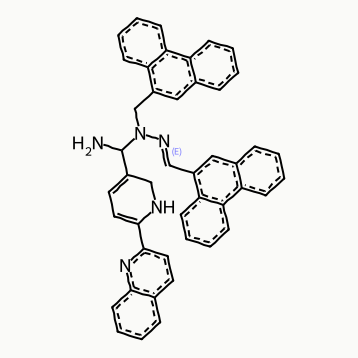 NC(C1=CC=C(c2ccc3ccccc3n2)NC1)N(Cc1cc2ccccc2c2ccccc12)/N=C/c1cc2ccccc2c2ccccc12